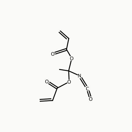 C=CC(=O)OC(C)(N=C=O)OC(=O)C=C